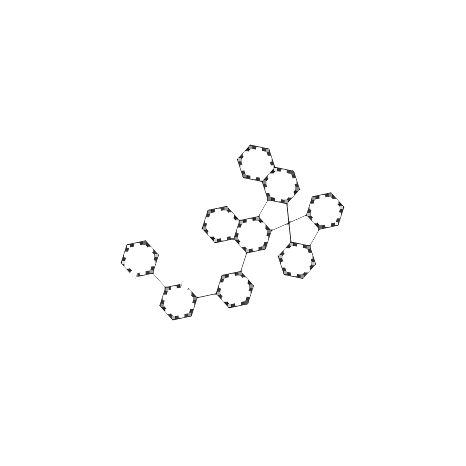 c1ccc(-c2cccc(-c3cccc(-c4cc5c(c6ccccc46)-c4c(ccc6ccccc46)C54c5ccccc5-c5ccccc54)c3)n2)nc1